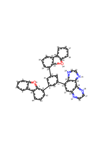 c1ccc2c(c1)oc1c(-c3cc(-c4cc5nccnc5c5nccnc45)cc(-c4cccc5c4oc4ccccc45)c3)cccc12